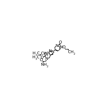 C=CCON1C(=O)N2CC(n3cc(CN(CC(N)=O)C(=O)OC(C)(C)C)nn3)=CC1C2